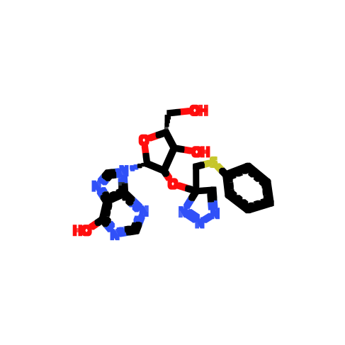 OC[C@H]1O[C@@H](n2cnc3c(O)ncnc32)C(OC2(CSc3ccccc3)C=NN=N2)C1O